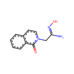 NC(Cn1ccc2ccccc2c1=O)=NO